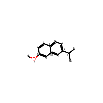 COc1ccc2ccc(C(C)C)cc2c1